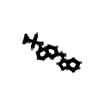 O=S(=O)(Nc1cccc2nc(N[C@@H]3CCc4ccccc43)ccc12)C1CC1